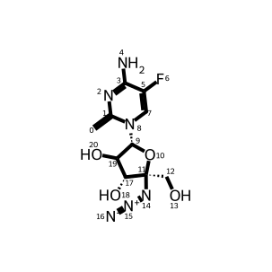 C=C1N=C(N)C(F)=CN1[C@@H]1O[C@@](CO)(N=[N+]=[N-])[C@H](O)C1O